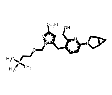 CCOC(=O)c1cc(Cc2ccc(N3CC4CC4C3)nc2CO)n(COCCS(C)(C)C)n1